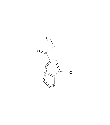 COC(=O)c1cc(Cl)c2nncn2c1